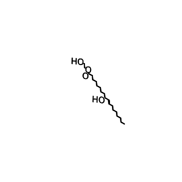 CCCCCCC/C=C/C(O)CCCCCCCC(=O)OCCO